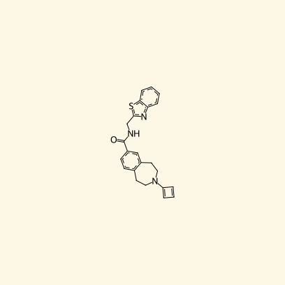 O=C(NCc1nc2ccccc2s1)c1ccc2c(c1)CCN(C1=CC=C1)CC2